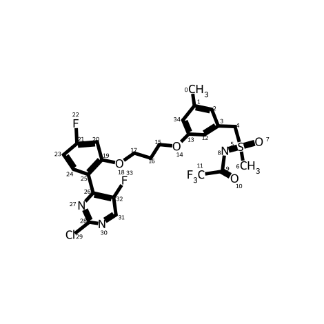 Cc1cc(CS(C)(=O)=NC(=O)C(F)(F)F)cc(OCCCOc2cc(F)ccc2-c2nc(Cl)ncc2F)c1